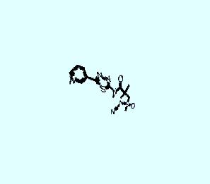 CN(C(=O)C(C)(C)CS(C)(=O)=NC#N)c1nnc(-c2cccnc2)s1